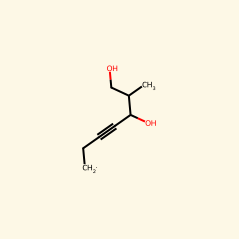 [CH2]CC#CC(O)C(C)CO